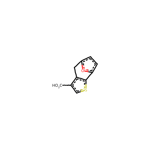 O=C(O)c1csc2c1Cc1ccc-2o1